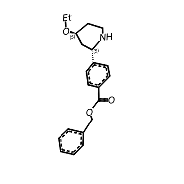 CCO[C@H]1CCN[C@H](c2ccc(C(=O)OCc3ccccc3)cc2)C1